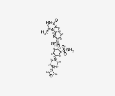 C[C@@H]1CNC(=O)c2cc3ccc(C(=O)Nc4ccc(N5CCN(C6COC6)CC5)cc4S(N)(=O)=O)nc3n21